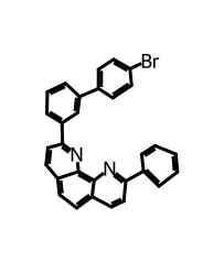 Brc1ccc(-c2cccc(-c3ccc4ccc5ccc(-c6ccccc6)nc5c4n3)c2)cc1